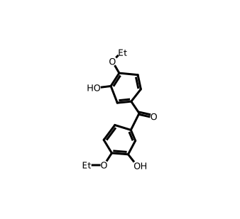 CCOc1ccc(C(=O)c2ccc(OCC)c(O)c2)cc1O